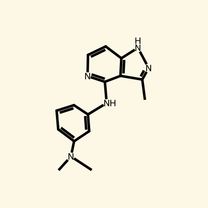 Cc1n[nH]c2ccnc(Nc3cccc(N(C)C)c3)c12